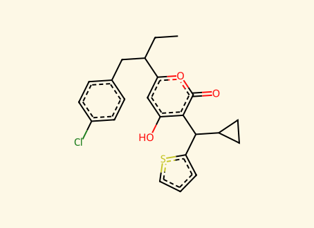 CCC(Cc1ccc(Cl)cc1)c1cc(O)c(C(c2cccs2)C2CC2)c(=O)o1